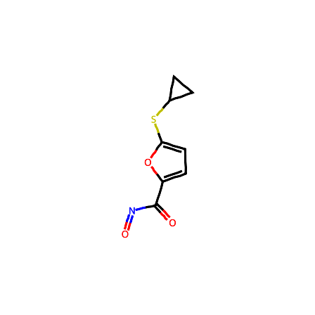 O=NC(=O)c1ccc(SC2CC2)o1